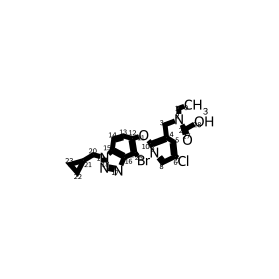 CCN(Cc1cc(Cl)cnc1Oc1ccc2c(nnn2CC2CC2)c1Br)C(=O)O